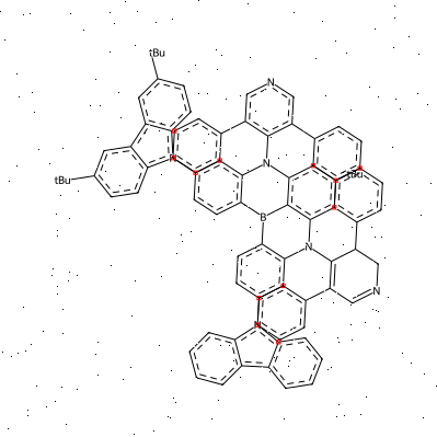 CC(C)(C)c1cc2c3c(c1)N(c1c(-c4ccccc4)cncc1-c1ccccc1)c1cc(-n4c5ccc(C(C)(C)C)cc5c5cc(C(C)(C)C)ccc54)ccc1B3c1ccc(-n3c4ccccc4c4ccccc43)cc1N2C1=C(c2ccccc2)C=NCC1c1ccccc1